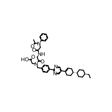 CC[C@H]1CC[C@H](C2CC=C(c3cnc(-c4ccc(CN(CC(=O)O)C(=O)CNC(=O)CN(C(C)=O)c5ccccc5)cc4)nc3)CC2)CC1